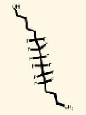 C=CCCC(F)(F)C(F)(F)C(F)(F)C(F)(F)C(F)(F)C(F)(F)CCCCO